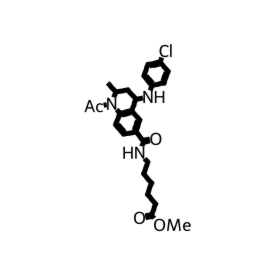 COC(=O)CCCCCNC(=O)c1ccc2c(c1)C(Nc1ccc(Cl)cc1)CC(C)N2C(C)=O